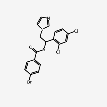 O=C(SC(Cn1ccnc1)c1ccc(Cl)cc1Cl)c1ccc(Br)cc1